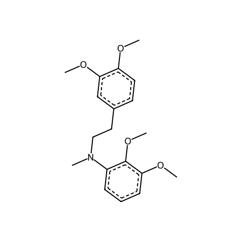 COc1ccc(CCN(C)c2cccc(OC)c2OC)cc1OC